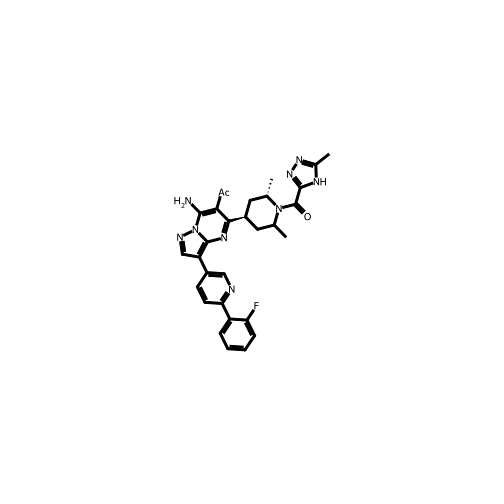 CC(=O)c1c([C@@H]2CC(C)N(C(=O)c3nnc(C)[nH]3)[C@@H](C)C2)nc2c(-c3ccc(-c4ccccc4F)nc3)cnn2c1N